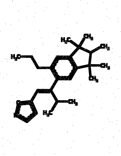 CCCc1cc2c(cc1C(=Cc1ccno1)C(C)C)C(C)(C)C(C)C2(C)C